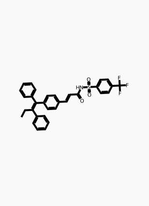 CC/C(=C(\c1ccccc1)c1ccc(/C=C/C(=O)NS(=O)(=O)c2ccc(C(F)(F)F)cc2)cc1)c1ccccc1